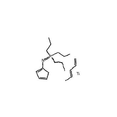 C=CC=CC.CCCP(CCC)(CCC)=NC1=CC=CC1.[Ti]